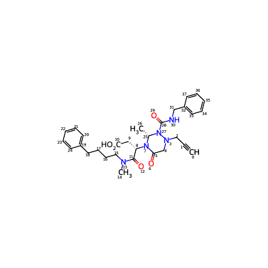 C#CCN1CC(=O)N([C@@H](CC(=O)O)C(=O)N(C)CCCCc2ccccc2)[C@H](C)N1C(=O)NCc1ccccc1